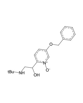 CC(C)(C)NCC(O)c1ccc(OCc2ccccc2)c[n+]1[O-]